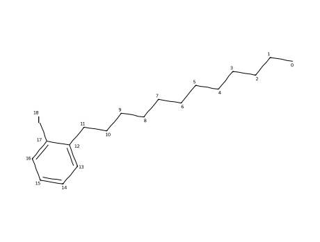 CCCCCCCCCCCCc1ccccc1I